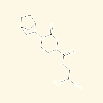 CC(C)COC(=O)N1CCN(C2CC3CCC2C3)C(=O)C1